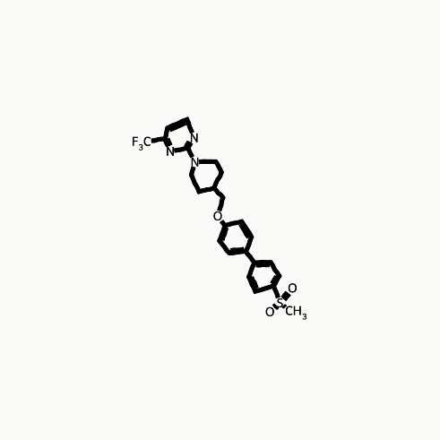 CS(=O)(=O)c1ccc(-c2ccc(OCC3CCN(c4nccc(C(F)(F)F)n4)CC3)cc2)cc1